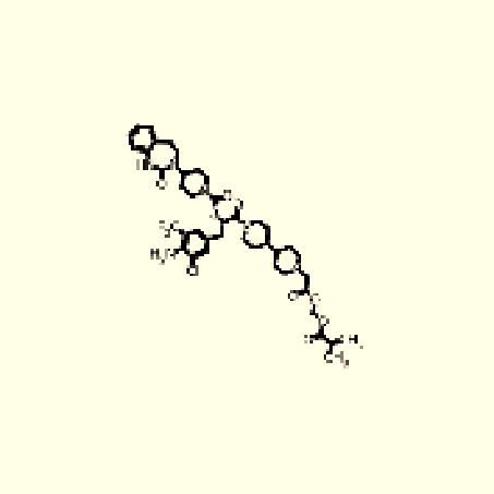 C=C(C)C(=O)OCOC(=O)CN1CCC(C2CCN(C(=O)[C@@H](Cc3cc(Cl)c(N)c(C(F)(F)F)c3)OC(=O)N3CCC(N4CCc5ccccc5NC4=O)CC3)CC2)CC1